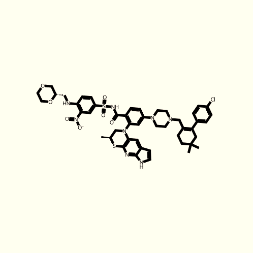 C[C@H]1CN(c2cc(N3CCN(CC4=C(c5ccc(Cl)cc5)CC(C)(C)CC4)CC3)ccc2C(=O)NS(=O)(=O)c2ccc(NC[C@H]3COCCO3)c([N+](=O)[O-])c2)c2cc3cc[nH]c3nc2S1